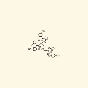 CC(C)(COP(O[C@H]1[C@H](N2CCCC2=O)c2cc(C#N)ccc2OC1(C)C)O[C@H]1[C@H](N2CCCC2=O)c2cc(C#N)ccc2OC1(C)C)CC(C)(C)O[C@H]1[C@H](N2CCCC2=O)c2cc(C#N)ccc2OC1(C)C